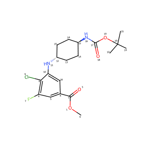 COC(=O)c1cc(F)c(Cl)c(N[C@H]2CC[C@H](NC(=O)OC(C)(C)C)CC2)c1